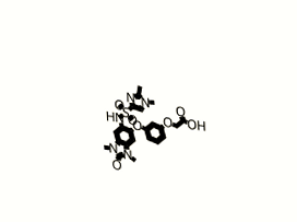 Cc1nc(S(=O)(=O)Nc2cc3c(cc2Oc2cccc(OCC(=O)O)c2)n(C)c(=O)n3C)cn1C